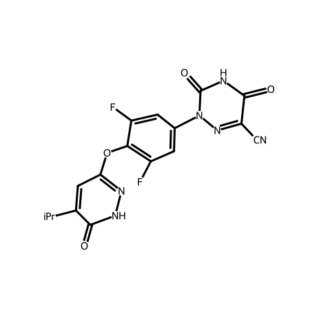 CC(C)c1cc(Oc2c(F)cc(-n3nc(C#N)c(=O)[nH]c3=O)cc2F)n[nH]c1=O